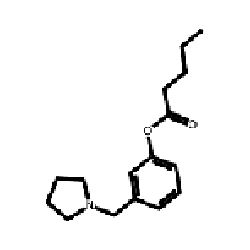 CCCCC(=O)Oc1cccc(CN2CCCC2)c1